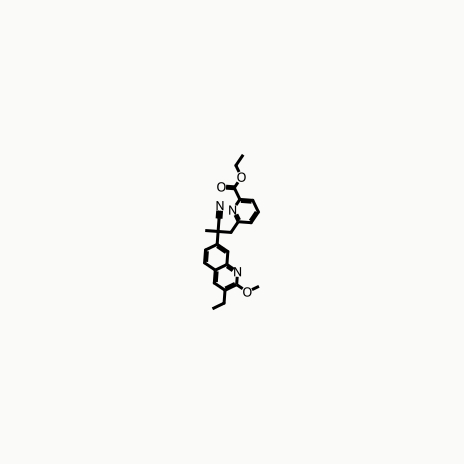 CCOC(=O)c1cccc(CC(C)(C#N)c2ccc3cc(CC)c(OC)nc3c2)n1